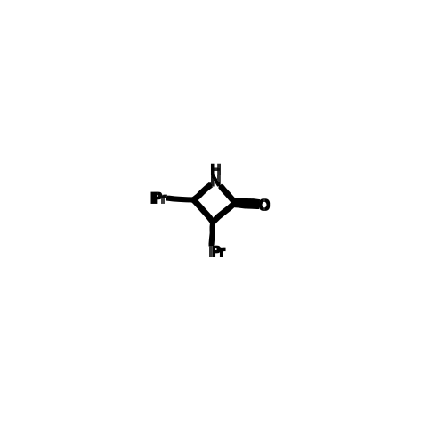 CC(C)C1NC(=O)C1C(C)C